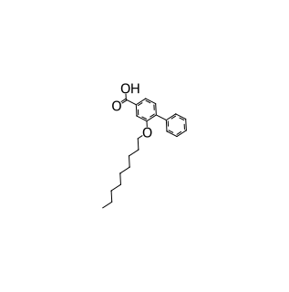 CCCCCCCCCOc1cc(C(=O)O)ccc1-c1ccccc1